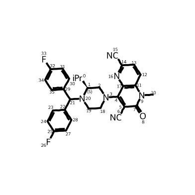 CC(C)[C@H]1CN(c2c(C#N)c(=O)n(C)c3ccc(C#N)nc23)CCN1C(c1ccc(F)cc1)c1ccc(F)cc1